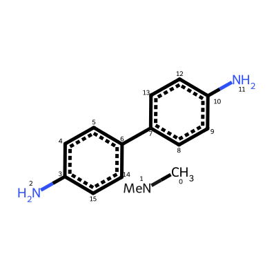 CNC.Nc1ccc(-c2ccc(N)cc2)cc1